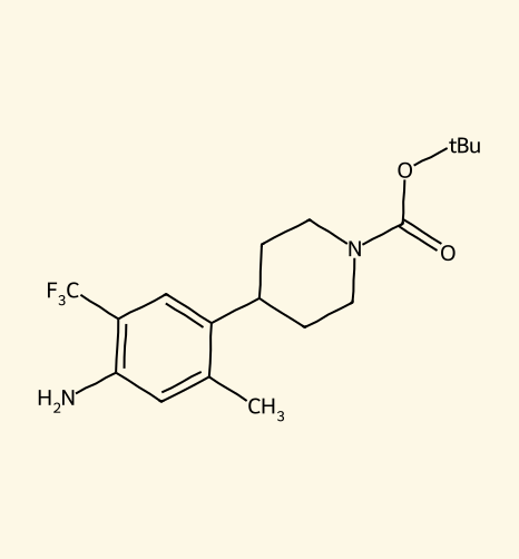 Cc1cc(N)c(C(F)(F)F)cc1C1CCN(C(=O)OC(C)(C)C)CC1